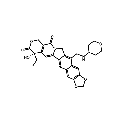 CC[C@@]1(O)C(=O)OCc2c1cc1n(c2=O)Cc2c-1nc1cc3c(cc1c2CNC1CCOCC1)OCO3